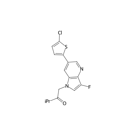 CC(C)C(=O)Cn1cc(F)c2ncc(-c3ccc(Cl)s3)cc21